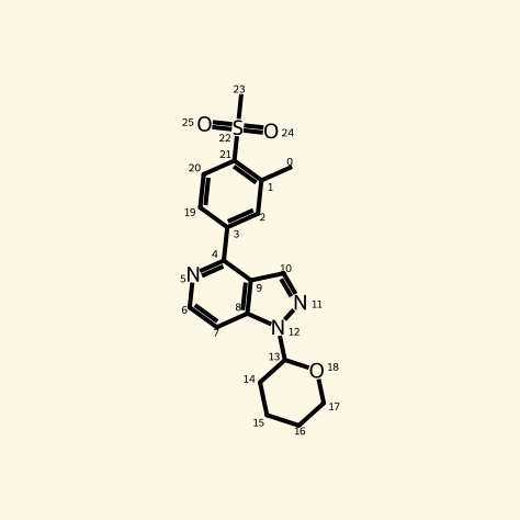 Cc1cc(-c2nccc3c2cnn3C2CCCCO2)ccc1S(C)(=O)=O